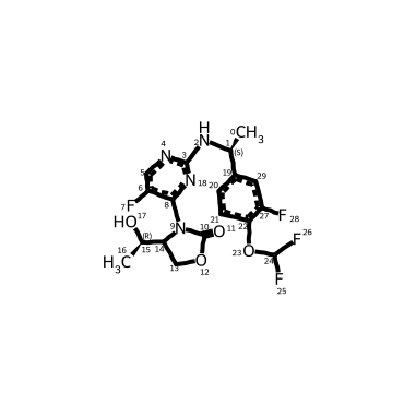 C[C@H](Nc1ncc(F)c(N2C(=O)OCC2[C@@H](C)O)n1)c1ccc(OC(F)F)c(F)c1